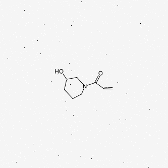 C=CC(=O)N1CCCC(O)C1